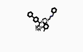 Cc1cccc(C)c1-n1nnnc1C(c1ccc(-c2ccccc2)cc1)N1CCN(C/C=C/c2ccccc2)CC1